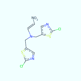 O=[N+]([O-])C=CN(Cc1cnc(Cl)s1)Cc1cnc(Cl)s1